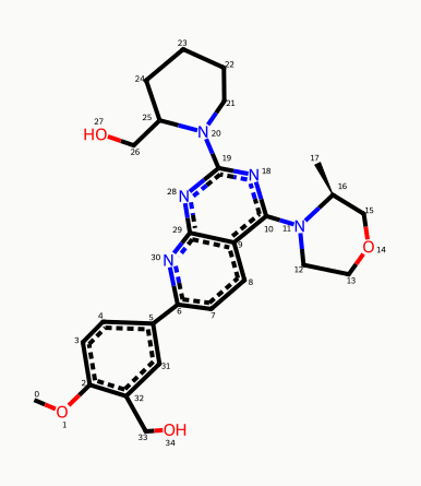 COc1ccc(-c2ccc3c(N4CCOC[C@@H]4C)nc(N4CCCCC4CO)nc3n2)cc1CO